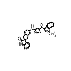 Cn1cc(C(=O)c2cc(Nc3ccc4c(c3)CC3(C4)C(=O)Nc4ncccc43)ncn2)c2ccccc21